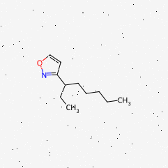 CCCCCC(CC)c1ccon1